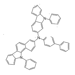 C=C(/C=C\C(=C/C)c1ccccc1)N(c1ccc2c(ccc3c4ccccc4n(-c4ccccc4)c23)c1)c1ccc2c3ccccc3n(-c3ccccc3)c2c1